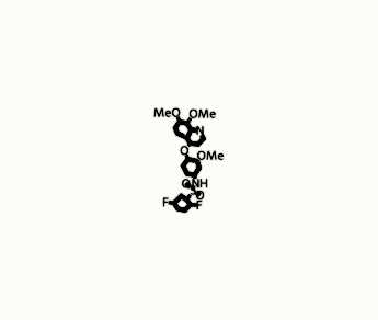 COc1cc(NS(=O)(=O)c2cc(F)ccc2F)ccc1Oc1ccnc2c(OC)c(OC)ccc12